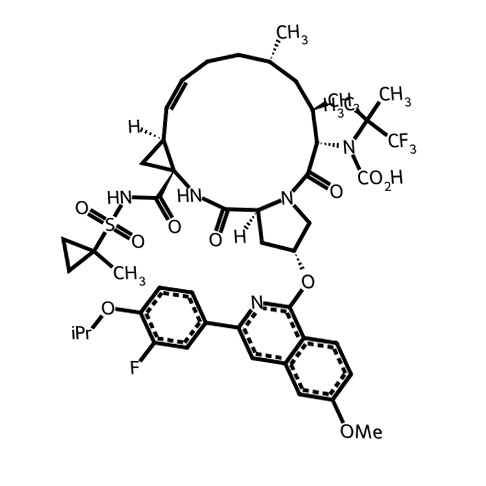 COc1ccc2c(O[C@@H]3C[C@H]4C(=O)N[C@]5(C(=O)NS(=O)(=O)C6(C)CC6)C[C@H]5C=CCC[C@H](C)C[C@@H](C)[C@H](N(C(=O)O)C(C)(C)C(F)(F)F)C(=O)N4C3)nc(-c3ccc(OC(C)C)c(F)c3)cc2c1